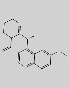 C=CC1CCCN=C1[C@@H](O)c1ccnc2ccc(OC)cc12